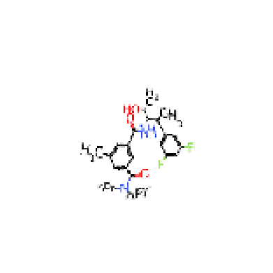 CCCN(CCC)C(=O)c1cc(C)cc(C(=O)N[C@@H](C(C)c2cc(F)cc(F)c2)[C@@H](C)O)c1